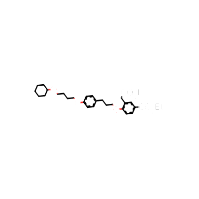 CCOC(=O)c1ccc(OCCCc2ccc(OCCCCOC3CCCCC3)cc2)c(CC(=O)O)c1